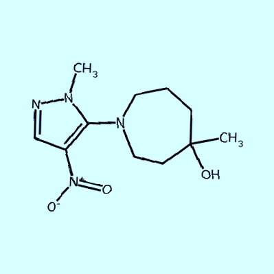 Cn1ncc([N+](=O)[O-])c1N1CCCC(C)(O)CC1